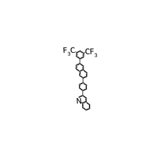 FC(F)(F)c1cc(-c2ccc3cc(-c4ccc(-c5cnc6ccccc6c5)cc4)ccc3c2)cc(C(F)(F)F)c1